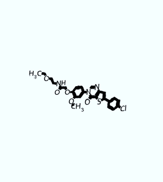 CCOCCNC(=O)COc1ccc(-n2cnc3cc(-c4ccc(Cl)cc4)sc3c2=O)cc1OC